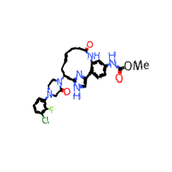 COC(=O)Nc1ccc2c(c1)NC(=O)CC/C=C/C[C@H](N1CCN(c3cccc(Cl)c3F)CC1=O)c1nc-2c[nH]1